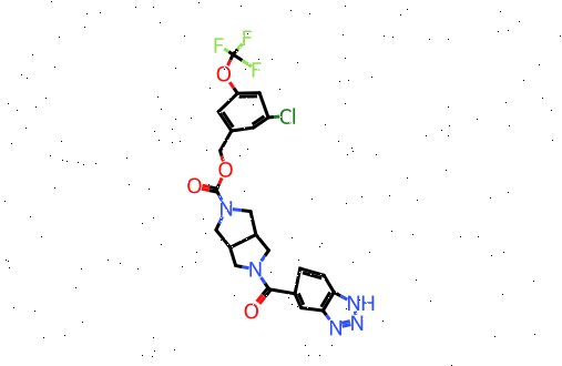 O=C(OCc1cc(Cl)cc(OC(F)(F)F)c1)N1CC2CN(C(=O)c3ccc4[nH]nnc4c3)CC2C1